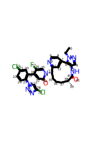 CCn1ncc2c1-c1ccnc(c1)[C@@H](n1cc(F)c(-c3cc(Cl)ccc3-n3cc(Cl)nn3)cc1=O)CCC[C@@H](C)C(=O)N2